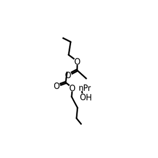 CCCCOC(C)=O.CCCO.CCCOC(C)=O